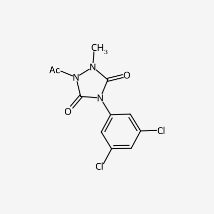 CC(=O)n1c(=O)n(-c2cc(Cl)cc(Cl)c2)c(=O)n1C